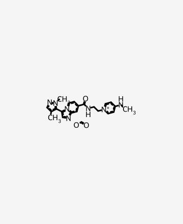 CNc1cc[n+](CCNC(=O)c2ccn3c(-c4c(C)cnn4C)cnc3c2)cc1.O=C[O-]